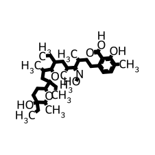 CCC(CC(C)C(=NO)C(C)CCc1ccc(C)c(O)c1C(=O)O)C1OC(CC)(C2CCC(O)(CC)C(C)O2)CC1C